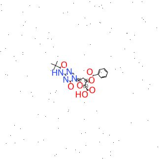 CC(C)(C)C(=O)Nc1ncn([C@H]2C[C@H](OC(=O)c3ccccc3)[C@@H](C(=O)O)O2)c(=O)n1